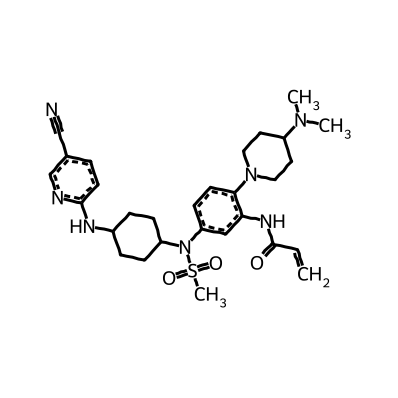 C=CC(=O)Nc1cc(N(C2CCC(Nc3ccc(C#N)cn3)CC2)S(C)(=O)=O)ccc1N1CCC(N(C)C)CC1